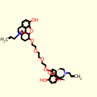 C=CCN1CC[C@]23c4c5ccc(O)c4O[C@H]2C(OCCOCCOCCOC2CC[C@@]4(O)C6Cc7ccc(O)c8c7[C@@]4(CCN6CC=C)C2O8)CC[C@@]3(O)C(C5)C1